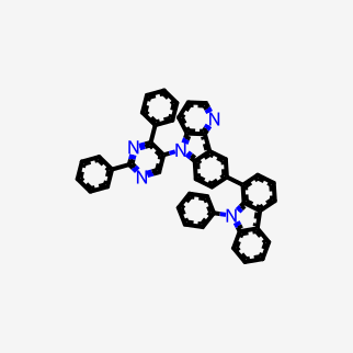 c1ccc(-c2ncc(-n3c4ccc(-c5cccc6c7ccccc7n(-c7ccccc7)c56)cc4c4ncccc43)c(-c3ccccc3)n2)cc1